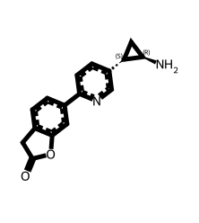 N[C@@H]1C[C@H]1c1ccc(-c2ccc3c(c2)OC(=O)C3)nc1